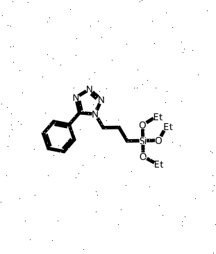 CCO[Si](CCCn1nnnc1-c1ccccc1)(OCC)OCC